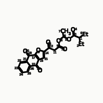 CCC(CC)C(=O)OC(C)OC(=O)CC(=O)c1cc2c(o1)C(=O)c1ccccc1C2=O